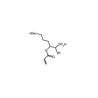 C=CC(=O)OC(CCCCCCCCCCCCC)C(C(C)C)S(=O)(=O)O